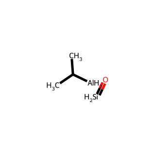 C[CH](C)[AlH2].O=[SiH2]